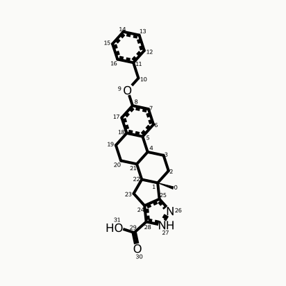 C[C@]12CCC3c4ccc(OCc5ccccc5)cc4CCC3C1Cc1c2n[nH]c1C(=O)O